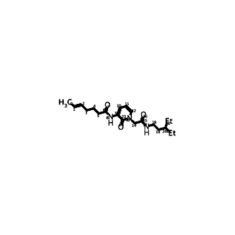 CC=CCCCC(=O)Nc1cccn(CC(=O)NCCC(CC)CC)c1=O